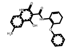 Bc1ccc2[nH]c(=O)c(C(=O)NC3=C(Oc4ccccc4)CCC=C3)c(O)c2c1